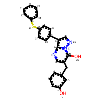 Oc1cccc(Cc2cnc3c(-c4ccc(Sc5ccccc5)cc4)cnn3c2O)c1